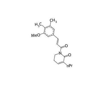 CCCC1=CCCN(C(=O)/C=C/c2cc(C)c(C)c(OC)c2)C1=O